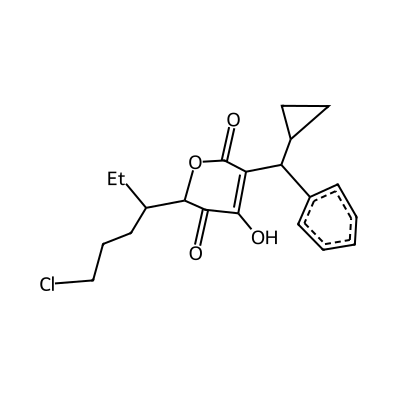 CCC(CCCCl)C1OC(=O)C(C(c2ccccc2)C2CC2)=C(O)C1=O